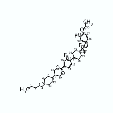 CCCCCC1CCC(C2COC(c3ccc(C4CCC(C(F)(F)Oc5ccc(OCC)c(F)c5)CC4)c(F)c3)OC2)CC1